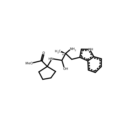 COC(=O)C1(NC(O)[C@](C)(N)Cc2c[nH]c3ccccc23)CCCC1